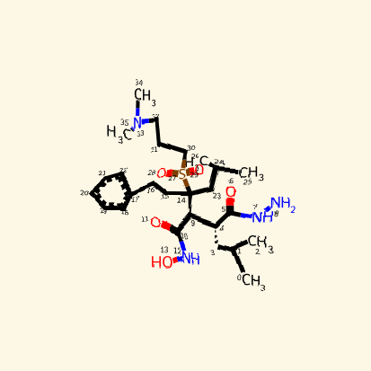 CC(C)C[C@@H](C(=O)NN)[C@@H](C(=O)NO)C(CCc1ccccc1)(CC(C)C)S(=O)(=O)CCCN(C)C